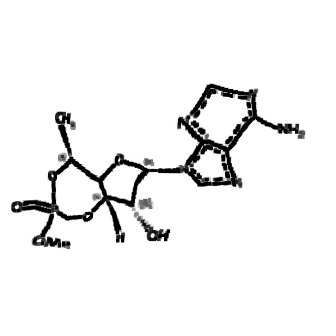 COP1(=O)O[C@@H](C)C2O[C@@H](n3cnc4c(N)ncnc43)[C@H](O)[C@@H]2O1